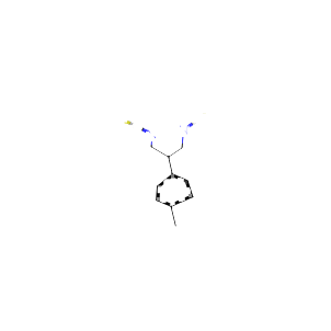 Cc1ccc(C(CN=C=S)CN=C=S)cc1